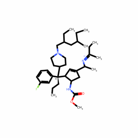 CCC[C@@](c1cccc(F)c1)(C1CCN(CC(CC)CC(C)CC)CC1)C1C=C(C(C)/N=C(\C)CC)CC1NC(=O)OC